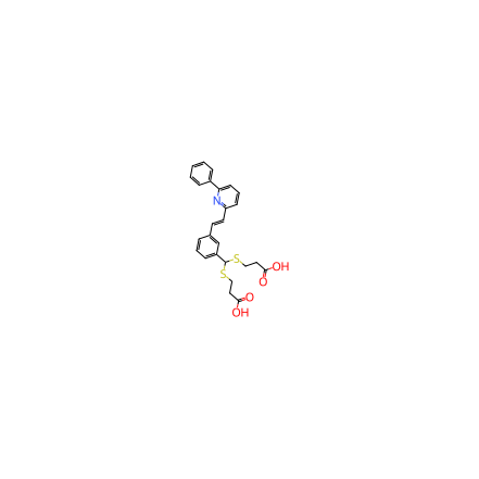 O=C(O)CCSC(SCCC(=O)O)c1cccc(C=Cc2cccc(-c3ccccc3)n2)c1